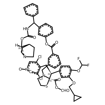 O=COC(=O)[C@]1([C@@H](Cc2c(Cl)c[n+]([O-])cc2Cl)c2ccc(OC(F)F)c(OCC3CC3)c2)SCCN1Cc1cccc(C(=O)Oc2cccc(C(NC(=O)O[C@H]3CN4CCC3CC4)c3ccccc3)c2)c1